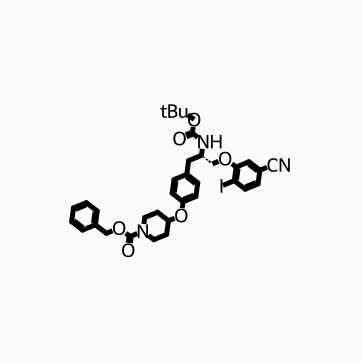 CC(C)(C)OC(=O)N[C@H](COc1cc(C#N)ccc1I)Cc1ccc(OC2CCN(C(=O)OCc3ccccc3)CC2)cc1